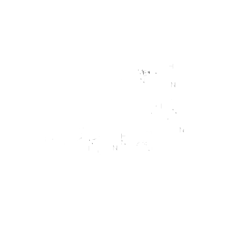 CCn1c(-c2cc(N3CCN(C)CC3)cnc2[C@H](C)OC)c2c3cc(ccc31)-c1cc(CF)cc(c1)C[C@H](NC(=O)[C@H]1C[C@@H]1C(F)(F)F)C(=O)N1CCC[C@@](C)(N1)C(=O)OCC(C)(C)C2